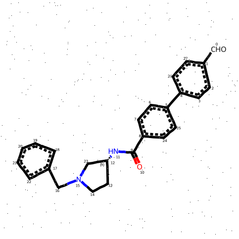 O=Cc1ccc(-c2ccc(C(=O)N[C@@H]3CCN(Cc4ccccc4)C3)cc2)cc1